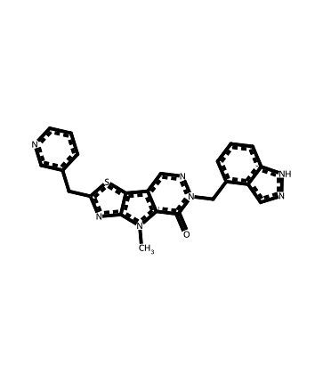 Cn1c2nc(Cc3cccnc3)sc2c2cnn(Cc3cccc4[nH]ncc34)c(=O)c21